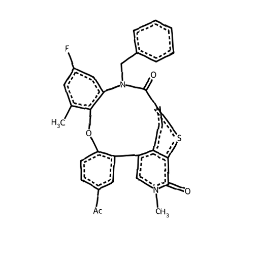 CC(=O)c1ccc2c(c1)-c1cn(C)c(=O)c3sc(cc13)C(=O)N(Cc1ccccc1)c1cc(F)cc(C)c1O2